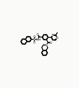 Cc1nccc(-c2ccc(C(=O)NS(=O)(=O)c3ccc4ccccc4c3)cc2C(=O)N2CCc3ccccc3C2)n1